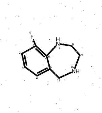 Fc1cccc2c1NCCNC2